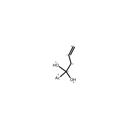 C=CCC(O)(O)C(C)=O